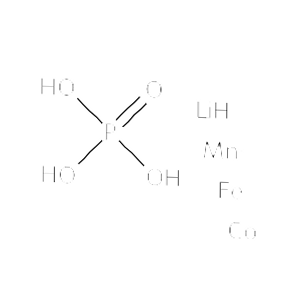 O=P(O)(O)O.[Co].[Fe].[LiH].[Mn]